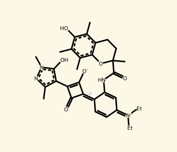 CC[N+](CC)=C1C=C/C(=C2\C(=O)C(c3c(C)nn(C)c3O)=C2[O-])C(NC(=O)C2(C)CCc3c(C)c(O)c(C)c(C)c3O2)=C1